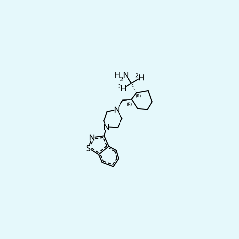 [2H]C([2H])(N)[C@@H]1CCCC[C@H]1CN1CCN(c2nsc3ccccc23)CC1